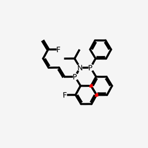 C=C(F)/C=C\C=C\P(C1CC=CC=C1F)N(C(C)C)P(c1ccccc1)c1ccccc1